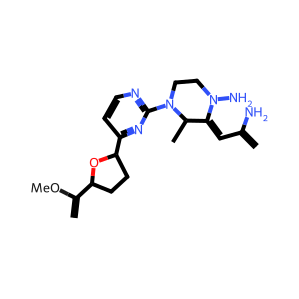 C=C(N)/C=C1/C(C)N(c2nccc(C3CCC(C(=C)OC)O3)n2)CCN1N